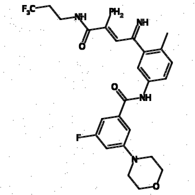 Cc1ccc(NC(=O)c2cc(F)cc(N3CCOCC3)c2)cc1C(=N)/C=C(\P)C(=O)NCCC(F)(F)F